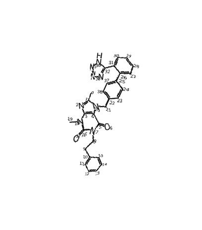 Cc1nc2c(c(=O)n(CCc3ccccc3)c(=O)n2C)n1Cc1ccc(-c2ccccc2-c2nnn[nH]2)cc1